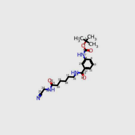 CC(C)(C)OC(=O)Nc1cccc(C(=O)NCCCCCC(=O)NCC#N)c1